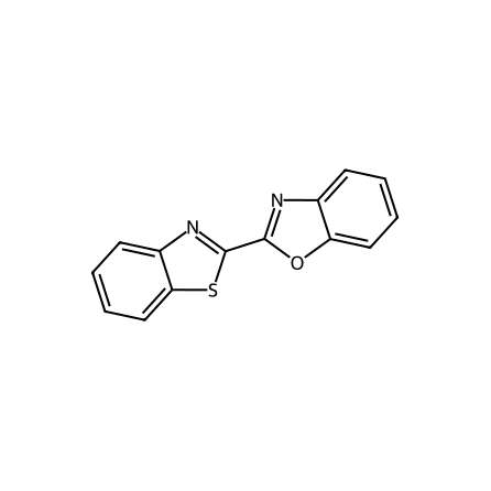 c1ccc2oc(-c3nc4ccccc4s3)nc2c1